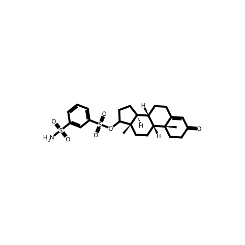 C[C@]12CCC(=O)C=C1CC[C@@H]1[C@H]2CC[C@]2(C)C(OS(=O)(=O)c3cccc(S(N)(=O)=O)c3)CC[C@@H]12